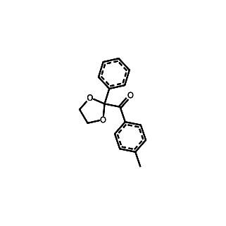 Cc1ccc(C(=O)C2(c3ccccc3)OCCO2)cc1